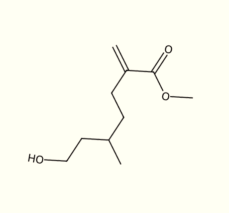 C=C(CCC(C)CCO)C(=O)OC